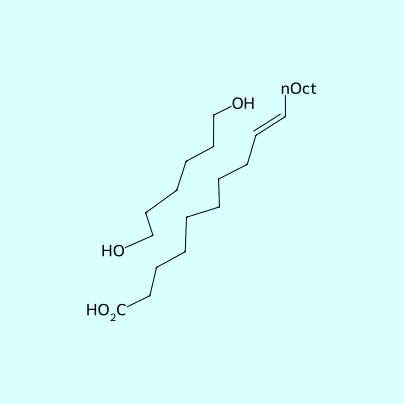 CCCCCCCCC=CCCCCCCCC(=O)O.OCCCCCCO